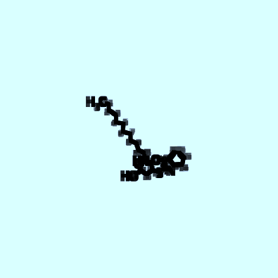 CCCCCCCCCCCCNC(=O)C(CC(=O)O)Sc1nc2ccccc2s1